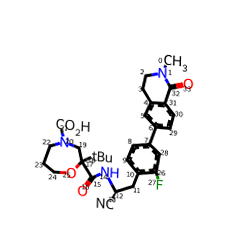 CN1CCc2cc(-c3ccc(C[C@@H](C#N)NC(=O)C4(C(C)(C)C)CN(C(=O)O)CCCO4)c(F)c3)ccc2C1=O